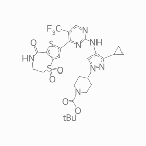 CC(C)(C)OC(=O)N1CCC(n2cc(Nc3ncc(C(F)(F)F)c(-c4cc5c(s4)C(=O)NCCS5(=O)=O)n3)c(C3CC3)n2)CC1